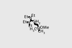 CCN(CC)C([SiH2]C=C[Si](C)(C)OC)N(CC)CC